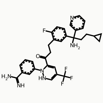 N=C(N)c1cccc(N2NC=C(C(F)(F)F)C=C2C(=O)CCc2cc(C(N)(CCC3CC3)c3cccnc3)ccc2F)c1